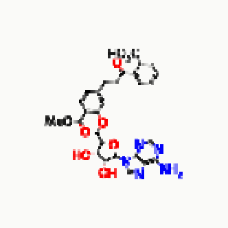 COC(=O)c1ccc(CCC(=O)c2ccccc2C(=O)O)cc1OC[C@H]1O[C@@H](n2cnc3c(N)ncnc32)[C@H](O)[C@@H]1O